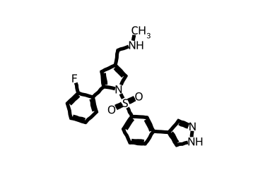 CNCc1cc(-c2ccccc2F)n(S(=O)(=O)c2cccc(-c3cn[nH]c3)c2)c1